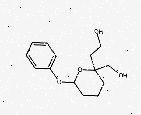 OCCC1(CO)CCCC(Oc2ccccc2)O1